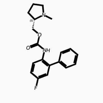 CN1CCC[C@H]1COC(=O)Nc1ccc(F)cc1-c1ccccc1